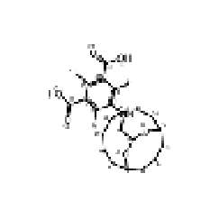 Cc1c(NCC2OC3CCCCCCCC(CCC3)O2)c(C)c(C(=O)O)c(I)c1C(=O)O